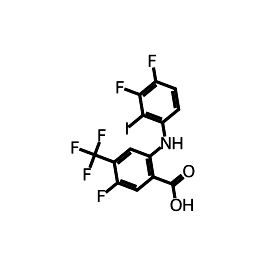 O=C(O)c1cc(F)c(C(F)(F)F)cc1Nc1ccc(F)c(F)c1I